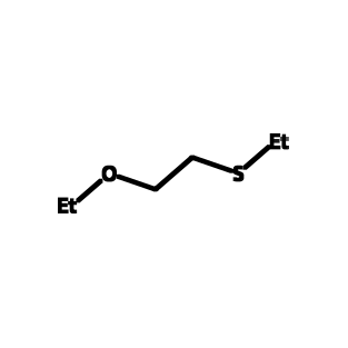 [CH2]COCCSCC